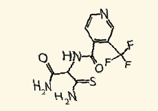 NC(=O)C(NC(=O)c1ccncc1C(F)(F)F)C(N)=S